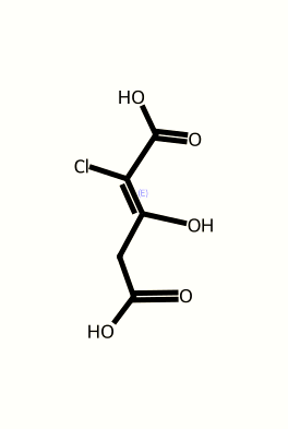 O=C(O)C/C(O)=C(\Cl)C(=O)O